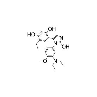 CCc1cc(-c2cnc(O)n2-c2ccc(OC)c(N(CC)CC)c2)c(O)cc1O